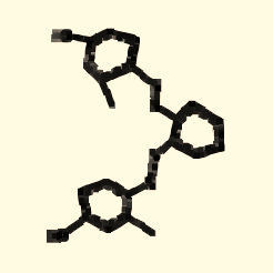 Cc1cc(O)ccc1N=Nc1ccccc1N=Nc1ccc(O)cc1C